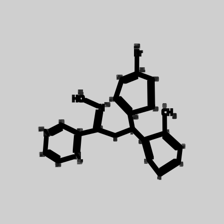 Cc1ccccc1C(CC(=NO)c1cnccn1)c1ccc(Br)cc1